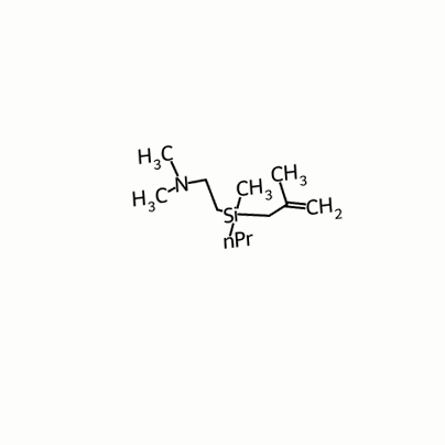 C=C(C)C[Si](C)(CCC)CCN(C)C